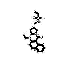 C=CS(=O)(=O)NC[C@H]1CCN(C(=O)c2c(OCC)ccc3ccccc23)C1